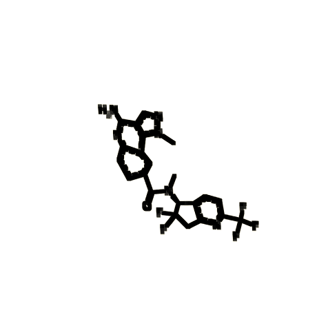 CN(C(=O)c1ccc2nc(N)c3cnn(C)c3c2c1)[C@H]1c2ccc(C(F)(F)F)nc2CC1(F)F